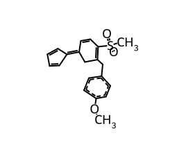 COc1ccc(CC2=C(S(C)(=O)=O)C=CC(=C3C=CC=C3)C2)cc1